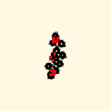 CC(C)(C)C1(C(C)(C)C)c2cc(N(c3ccccc3-c3ccccc3)c3cccc4c3oc3ccccc34)c3ccccc3c2-c2c1c1ccc(N(c3ccccc3-c3ccccc3)c3cccc4c3oc3ccccc34)cc1c1ccccc21